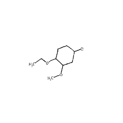 CCOC1CCC(Cl)C[C]1OC